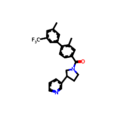 Cc1cc(-c2ccc(C(=O)N3CCC(c4cccnc4)C3)cc2C)cc(C(F)(F)F)c1